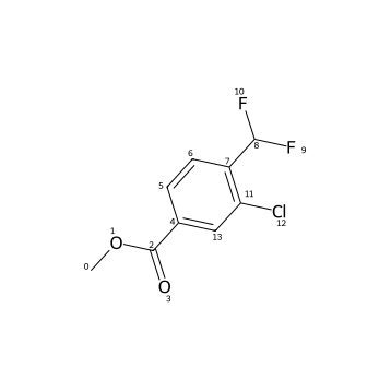 COC(=O)c1ccc(C(F)F)c(Cl)c1